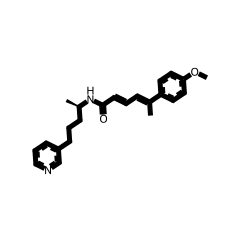 COc1ccc(/C(C)=C/C=C/C(=O)N[C@H](C)CCCc2cccnc2)cc1